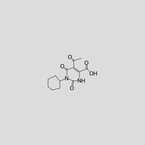 CC(=O)c1c(C(=O)O)[nH]c(=O)n(C2CCCCC2)c1=O